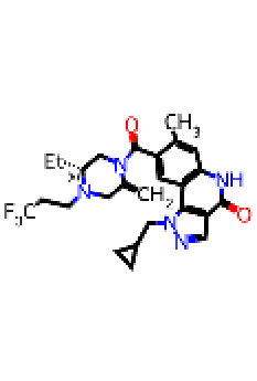 C=C1CN(CCC(F)(F)F)[C@H](CC)CN1C(=O)c1cc2c(cc1C)[nH]c(=O)c1cnn(CC3CC3)c12